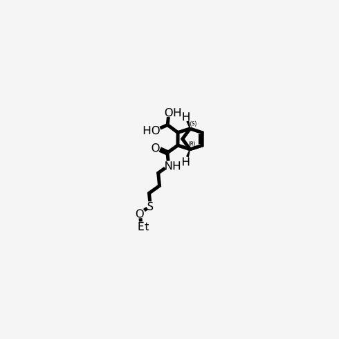 CCOSCCCNC(=O)C1C(C(O)O)[C@@H]2C=C[C@H]1C2